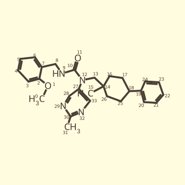 COc1ccccc1CNC(=O)N(CC1(C)CCC(c2ccccc2)CC1)c1cnc(C)nc1